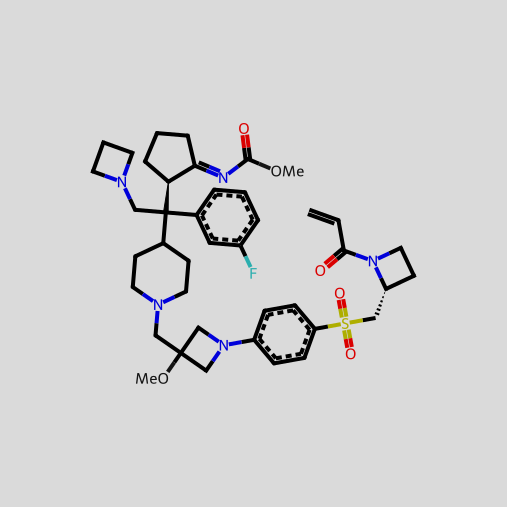 C=CC(=O)N1CC[C@@H]1CS(=O)(=O)c1ccc(N2CC(CN3CCC(C(CN4CCC4)(c4cccc(F)c4)[C@H]4CCC/C4=N\C(=O)OC)CC3)(OC)C2)cc1